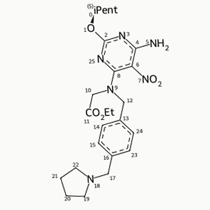 CCC[C@H](C)Oc1nc(N)c([N+](=O)[O-])c(N(CC(=O)OCC)Cc2ccc(CN3CCCC3)cc2)n1